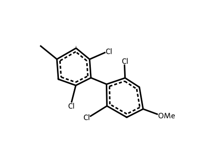 COc1cc(Cl)c(-c2c(Cl)[c]c(C)cc2Cl)c(Cl)c1